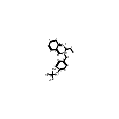 CCC1N=c2ccccc2=CN1Cc1ccc(OC(F)(F)F)cc1